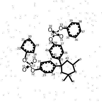 CC1CC(C)(C)CC(c2ccc(OS(=O)(=O)Oc3ccccc3)cc2)(c2ccc(OS(=O)(=O)Oc3ccccc3)cc2)C1